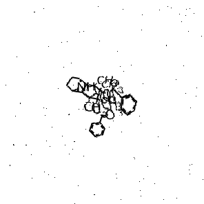 CC1C2(C)C3C4CCC(N4)C3C1(C)C(C)(OC(=O)c1ccccc1)C2(C)OC(=O)c1ccccc1